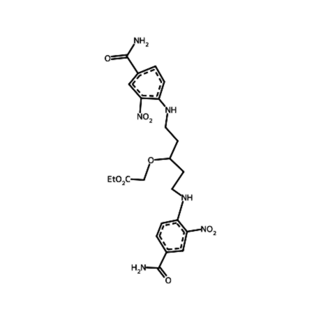 CCOC(=O)COC(CCNc1ccc(C(N)=O)cc1[N+](=O)[O-])CCNc1ccc(C(N)=O)cc1[N+](=O)[O-]